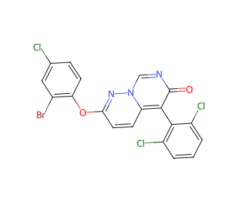 O=c1ncn2nc(Oc3ccc(Cl)cc3Br)ccc2c1-c1c(Cl)cccc1Cl